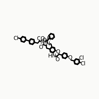 O=C(O)C(Cc1ccc(-c2ccc(Cl)cc2)cc1)NC(=O)C1Cc2cc3c(cc2CN1C(=O)c1ccccc1)OC(c1ccc(OCc2ccc(Cl)c(Cl)c2)cc1)C(=O)N3